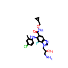 Cc1cc(Cl)ccc1Nc1c(C(=O)NOCC2CC2)cc2ncn(CC(O)CN)c2c1F